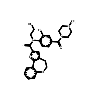 CN1CCN(C(=O)c2ccc(N(CCO)C(=O)c3cc4c(s3)-c3ccccc3OCC4)c(Cl)c2)CC1